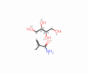 C=C(C)C(N)=O.OC[C@@H](O)[C@H](O)CO